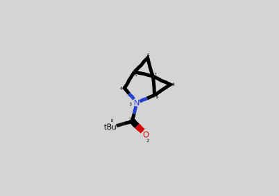 CC(C)(C)C(=O)N1CC2CC23CC13